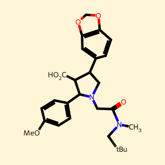 COc1ccc(C2C(C(=O)O)C(c3ccc4c(c3)OCO4)CN2CC(=O)N(C)CC(C)(C)C)cc1